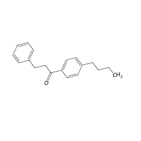 CCCCc1ccc(C(=O)CCc2ccccc2)cc1